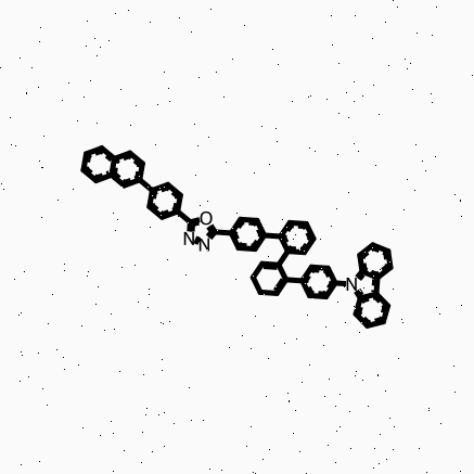 C1=C(c2ccc(-n3c4ccccc4c4ccccc43)cc2)C(c2ccccc2-c2ccc(-c3nnc(-c4ccc(-c5ccc6ccccc6c5)cc4)o3)cc2)=CCC1